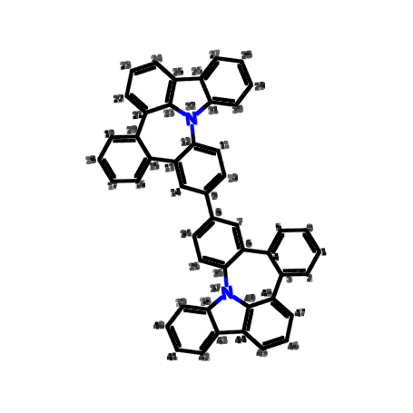 c1ccc2c(c1)-c1cc(-c3ccc4c(c3)-c3ccccc3-c3cccc5c6ccccc6n-4c35)ccc1-n1c3ccccc3c3cccc-2c31